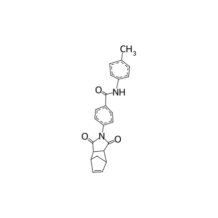 Cc1ccc(NC(=O)c2ccc(N3C(=O)C4C5C=CC(C5)C4C3=O)cc2)cc1